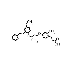 CCc1ccc(OC(C)CCOc2ccc(CCC(=O)O)c(C)c2)c(CCc2ccccc2)c1